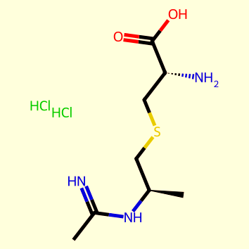 CC(=N)N[C@H](C)CSC[C@@H](N)C(=O)O.Cl.Cl